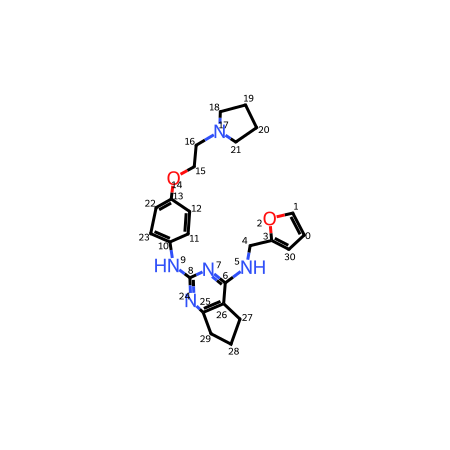 c1coc(CNc2nc(Nc3ccc(OCCN4CCCC4)cc3)nc3c2CCC3)c1